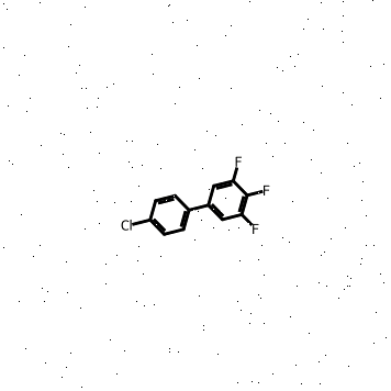 Fc1cc(-c2ccc(Cl)cc2)cc(F)c1F